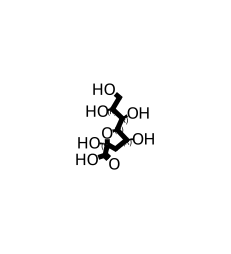 O=C(O)[C@]1(O)C[C@@H](O)[C@H]([C@H](O)[C@H](O)CO)O1